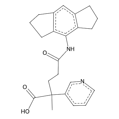 CC(CCC(=O)Nc1c2c(cc3c1CCC3)CCC2)(C(=O)O)c1cccnc1